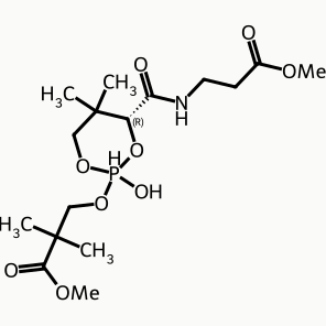 COC(=O)CCNC(=O)[C@@H]1O[PH](O)(OCC(C)(C)C(=O)OC)OCC1(C)C